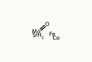 [Co].[Fe].[O]=[Mo].[SrH2]